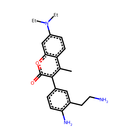 CCN(CC)c1ccc2c(C)c(-c3ccc(N)c(CCN)c3)c(=O)oc2c1